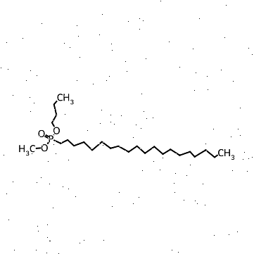 CCCCCCCCCCCCCCCCCCCCP(=O)(OC)OCCCC